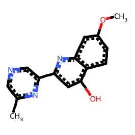 COc1ccc2c(O)cc(-c3cncc(C)n3)nc2c1